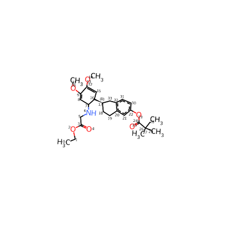 CCOC(=O)CNC1C=C(OC)C(OC)=CC1[C@@H]1CCc2cc(OC(=O)C(C)(C)C)ccc2C1